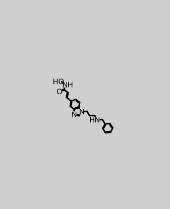 O=C(C=Cc1ccc2c(c1)ncn2CCCNCc1ccccc1)NO